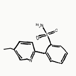 Cc1ccc(-c2ccccc2S(N)(=O)=O)nc1